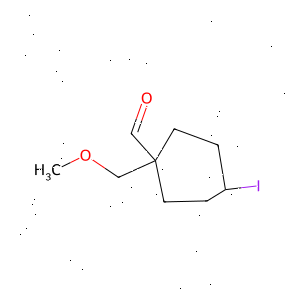 COCC1(C=O)CCC(I)CC1